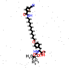 CC(C)(C)OC(=O)N[C@@H](Cc1ccc(OCCCCCCCCCCCCNC(=O)c2ccc(C#N)s2)cc1)C(=O)O